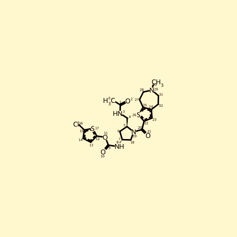 CC(=O)NC[C@@H]1C[C@@H](NC(=O)Oc2ccc(Cl)s2)CN1C(=O)c1cc2c(s1)CCN(C)CC2